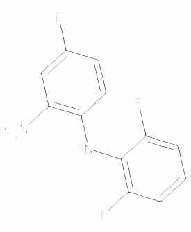 O=[N+]([O-])c1cc(F)ccc1Nc1c(F)cccc1F